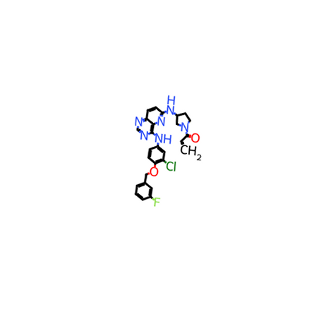 C=CC(=O)N1CCC(Nc2ccc3ncnc(Nc4ccc(OCc5cccc(F)c5)c(Cl)c4)c3n2)C1